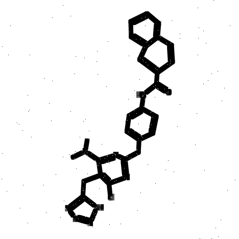 CN(C)c1nc(Cc2ccc(NC(=O)c3ccc4ccccc4c3)cc2)nc(Cl)c1Cc1nnn[nH]1